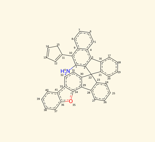 Nc1c2c(c3ccccc3c1C1=CC=CC1)-c1ccccc1C21c2ccccc2-c2c1ccc1c2oc2ccccc21